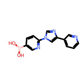 OB(O)c1ccc(-n2cnc(-c3cccnc3)c2)nc1